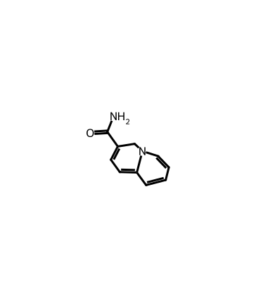 NC(=O)C1=CC=C2C=CC=CN2C1